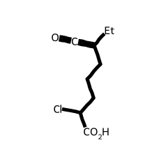 CCC(=C=O)CCCC(Cl)C(=O)O